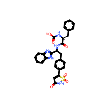 O=C(O)N[C@@H](Cc1ccccc1)C(=O)NC(Cc1ccc(C2=CC(=O)NS2(=O)=O)cc1)c1nc2ccccc2[nH]1